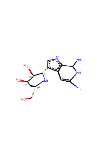 NC1=Cc2c([C@@H]3N[C@H](CO)[C@@H](O)[C@H]3O)c[nH]c2C(N)N1